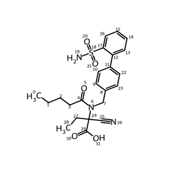 CCCCC(=O)N(Cc1ccc(-c2ccccc2S(N)(=O)=O)cc1)C(C#N)(CC)C(=O)O